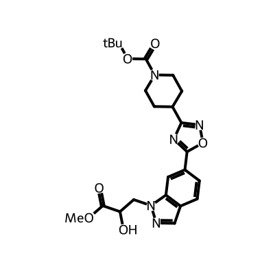 COC(=O)C(O)Cn1ncc2ccc(-c3nc(C4CCN(C(=O)OC(C)(C)C)CC4)no3)cc21